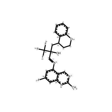 Cc1ncc2c(/N=C/C(O)(CC3CCOc4ccccc43)C(F)(F)F)cc(F)cc2n1